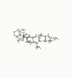 CCS(=O)(=O)N1[C@@H]2CCC[C@H]1C[C@@H](c1ccc3c(N)nc(Nc4cc(C)[nH]n4)cc3n1)C2